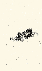 C[C@H](c1ccc(Cl)cc1Cl)n1cnc2ccc(N3CCN(C(=O)C4CCCN4C(=O)OC(C)(C)C)[C@H](CO)C3)cc21